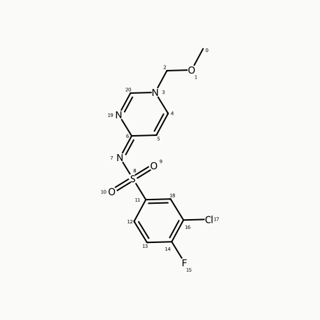 COCn1cc/c(=N\S(=O)(=O)c2ccc(F)c(Cl)c2)nc1